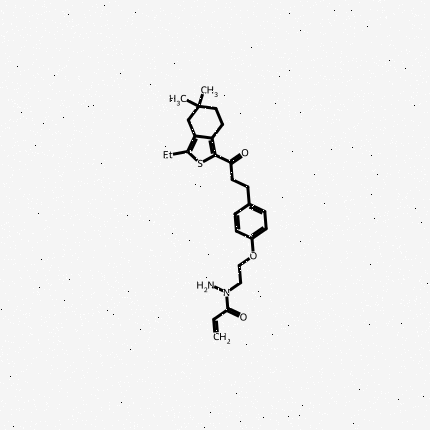 C=CC(=O)N(N)CCOc1ccc(CCC(=O)c2sc(CC)c3c2CCC(C)(C)C3)cc1